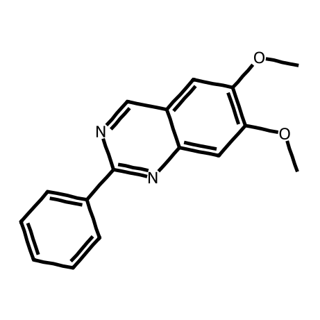 COc1cc2cnc(-c3ccccc3)nc2cc1OC